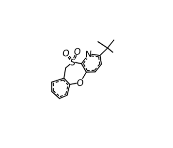 CC(C)(C)c1ccc2c(n1)S(=O)(=O)Cc1ccccc1O2